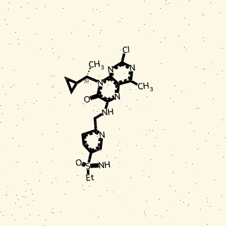 CCS(=N)(=O)c1ccc(CNc2nc3c(C)nc(Cl)nc3n([C@@H](C)C3CC3)c2=O)nc1